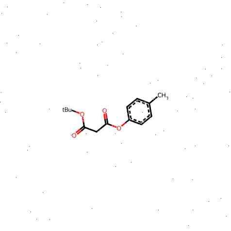 Cc1ccc(OC(=O)CC(=O)OC(C)(C)C)cc1